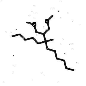 CCCCCCC(C)(CCCCC)C(COC)COC